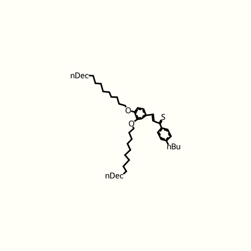 CCCCCCCCCCCCCCCCCCCOc1ccc(C=CC(=S)c2ccc(CCCC)cc2)cc1OCCCCCCCCCCCCCCCCCCC